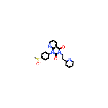 C[S+]([O-])c1ccc(-n2c(=O)n(CCc3ccccn3)c(=O)c3cccnc32)cc1